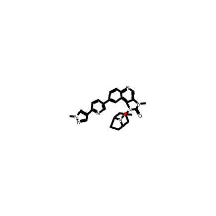 CSN1C2CCC1CC(n1c(=O)n(C)c3cnc4ccc(-c5ccc(-c6cnn(C)c6)nc5)cc4c31)C2